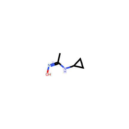 C/C(=N/O)NC1CC1